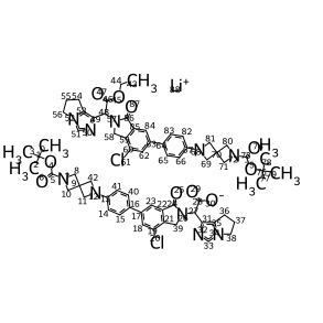 CC(C)(C)OC(=O)N1CC2(C1)CN(c1ccc(-c3cc(Cl)c4c(c3)C(=O)N(C(C(=O)[O-])c3ncn5c3CCC5)C4)cc1)C2.CCOC(=O)C(c1ncn2c1CCC2)N1Cc2c(Cl)cc(-c3ccc(N4CC5(CN(C(=O)OC(C)(C)C)C5)C4)cc3)cc2C1=O.[Li+]